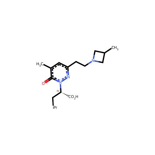 Cc1cc(CCN2CC(C)C2)nn([C@@H](CC(C)C)C(=O)O)c1=O